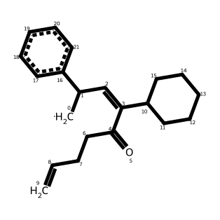 [CH2]C(C=C(C(=O)CCC=C)C1CCCCC1)c1ccccc1